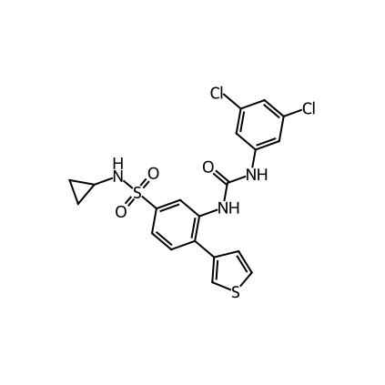 O=C(Nc1cc(Cl)cc(Cl)c1)Nc1cc(S(=O)(=O)NC2CC2)ccc1-c1ccsc1